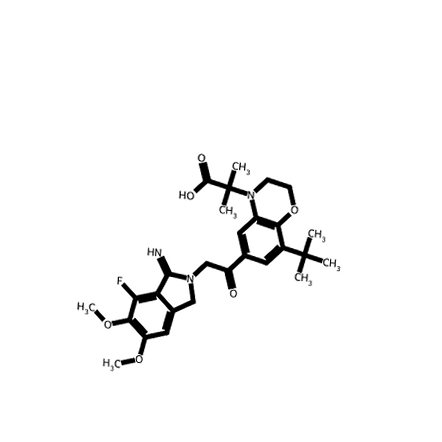 COc1cc2c(c(F)c1OC)C(=N)N(CC(=O)c1cc3c(c(C(C)(C)C)c1)OCCN3C(C)(C)C(=O)O)C2